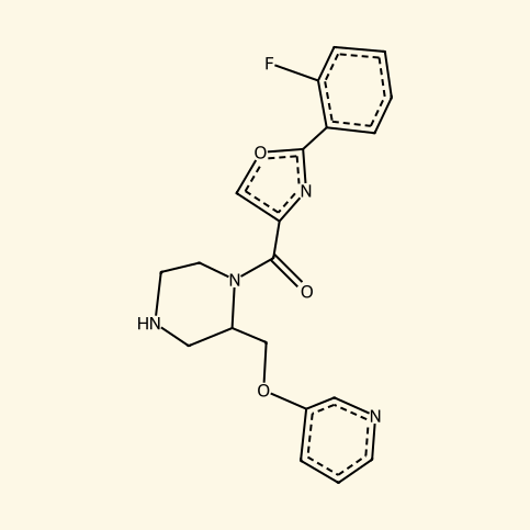 O=C(c1coc(-c2ccccc2F)n1)N1CCNCC1COc1cccnc1